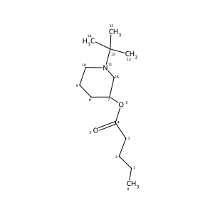 CCCCC(=O)OC1CCCN(C(C)(C)C)C1